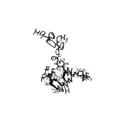 CC(OC(=O)CO)C(=O)OCC(=O)N1CCC(c2cc(Nc3cc(C(F)(F)F)ccn3)nc(N3CCC(F)(F)C3)n2)CC1